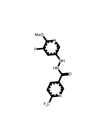 COc1ncc(NNC(=O)c2ccc(C(F)(F)F)nc2)cc1F